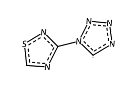 [c]1nnnn1-c1ncsn1